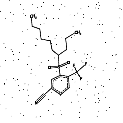 CCCCCCC(CCC)S(=O)(=O)c1cc(C#N)[c]cc1C(F)(F)F